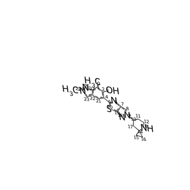 Cc1c(O)c(-c2nc3cn([C@H]4CCNC5(CC5)C4)nc3s2)cc2cn(C)nc12